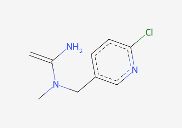 C=C(N)N(C)Cc1ccc(Cl)nc1